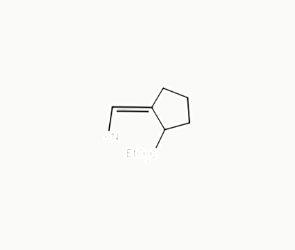 CCOC(=O)C1CCC/C1=C/C#N